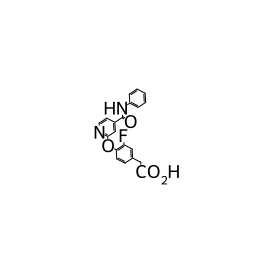 O=C(O)Cc1ccc(Oc2cc(C(=O)Nc3ccccc3)ccn2)c(F)c1